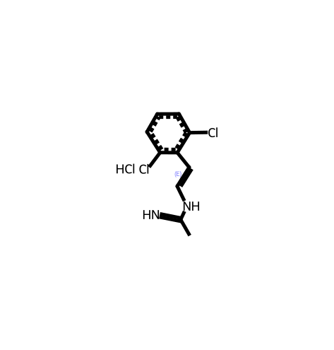 CC(=N)N/C=C/c1c(Cl)cccc1Cl.Cl